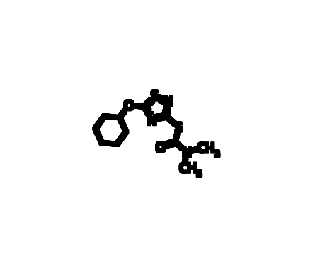 CN(C)C(=O)Sc1nsc(OC2CCCCC2)n1